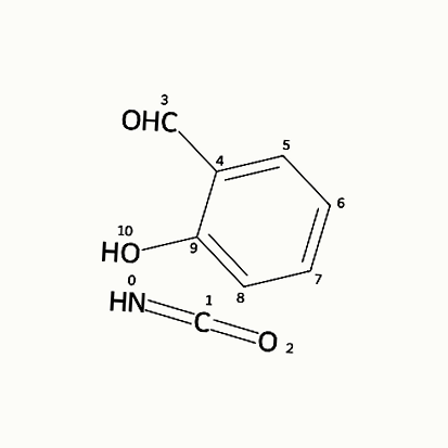 N=C=O.O=Cc1ccccc1O